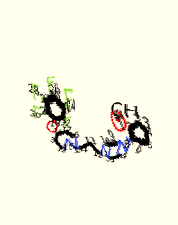 COc1ccccc1N1CCN(CCCN2CCC(Oc3c(F)c(F)c(F)c(F)c3F)CC2)CC1